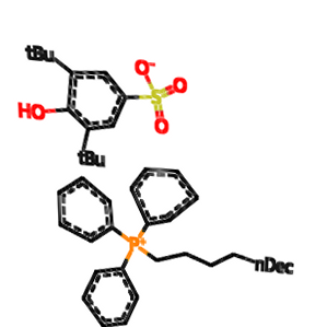 CC(C)(C)c1cc(S(=O)(=O)[O-])cc(C(C)(C)C)c1O.CCCCCCCCCCCCCC[P+](c1ccccc1)(c1ccccc1)c1ccccc1